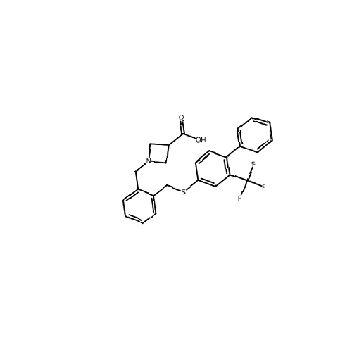 O=C(O)C1CN(Cc2ccccc2CSc2ccc(-c3ccccc3)c(C(F)(F)F)c2)C1